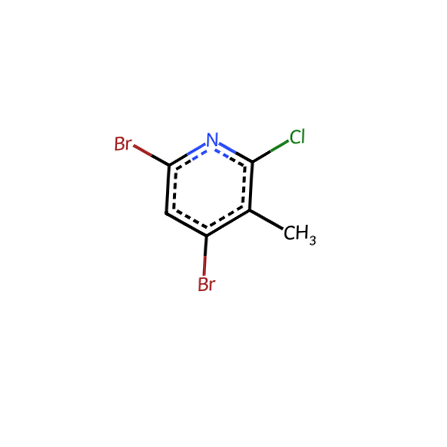 Cc1c(Br)cc(Br)nc1Cl